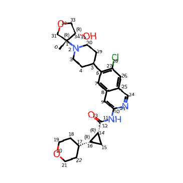 C[C@@]1(N2CCC(c3cc4cc(NC(=O)[C@@H]5C[C@@H]5C5CCOCC5)ncc4cc3Cl)CC2)COC[C@@H]1O